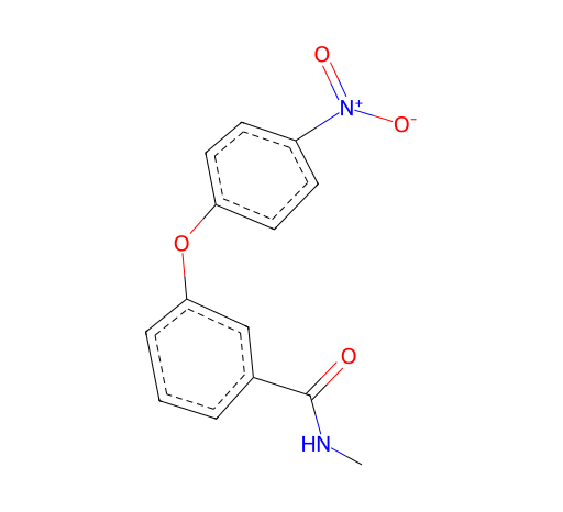 CNC(=O)c1cccc(Oc2ccc([N+](=O)[O-])cc2)c1